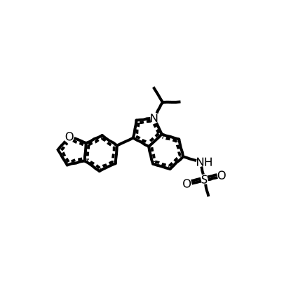 CC(C)n1cc(-c2ccc3ccoc3c2)c2ccc(NS(C)(=O)=O)cc21